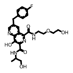 CC(CO)NC(=O)c1nc(C(=O)NCCOCCO)c2cc(Cc3ccc(F)cc3)cnc2c1O